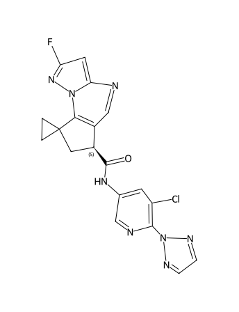 O=C(Nc1cnc(-n2nccn2)c(Cl)c1)[C@H]1CC2(CC2)c2c1cnc1cc(F)nn21